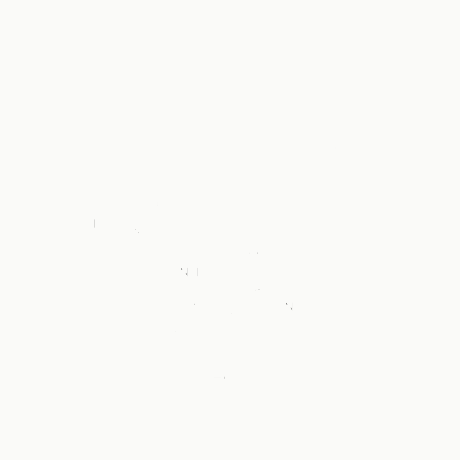 O=C(O)CNC(=O)C1=C(O)CN(Cc2ccc(-c3ccccc3)cc2)C1=O